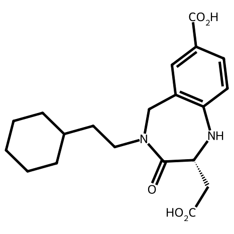 O=C(O)C[C@H]1Nc2ccc(C(=O)O)cc2CN(CCC2CCCCC2)C1=O